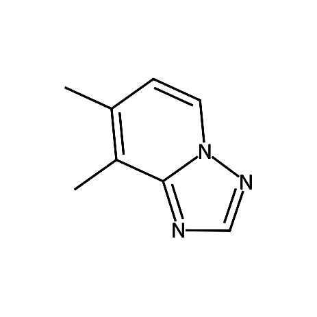 Cc1ccn2ncnc2c1C